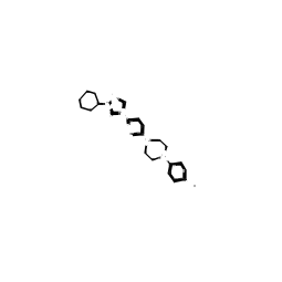 O=c1n(-c2ccc(N3CCN(c4ccc(O)cc4)CC3)cc2)cnn1C1CCCCC1